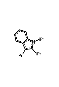 CC(C)c1c(C(C)C)n(C(C)C)c2ccccc12